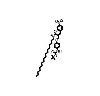 CCCCCCCCCCCCCCCCCCN(C)C(=O)C(=Cc1ccc([N+](=O)[O-])cc1)COc1ccc(NC(=O)OC(C)(C)C)cc1